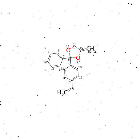 C=Cc1ccc(C2(c3ccccc3)OCC(=C)O2)cc1